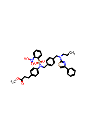 CCCN(Cc1ccc(CN(c2ccc(CCC(=O)OC)cc2)S(=O)(=O)c2ccccc2[N+](=O)O)cc1)c1nc(-c2ccccc2)cs1